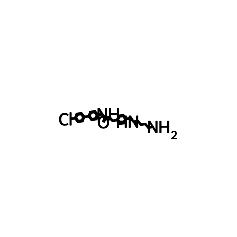 NCCCCNCc1ccc(CCC(=O)Nc2ccc(-c3ccc(Cl)cc3)cc2)cc1